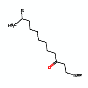 CCCCCCCCCCCCC(=O)CCCCCCCC(CC)C(=O)O